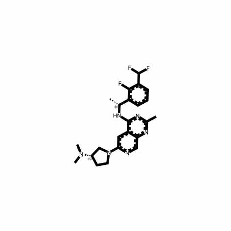 Cc1nc(N[C@H](C)c2cccc(C(F)F)c2F)c2cc(N3CC[C@H](N(C)C)C3)ncc2n1